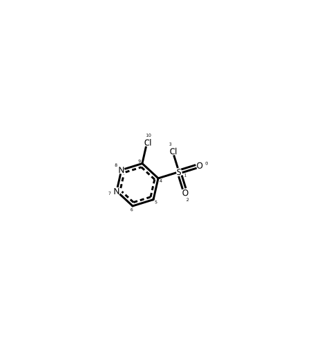 O=S(=O)(Cl)c1ccnnc1Cl